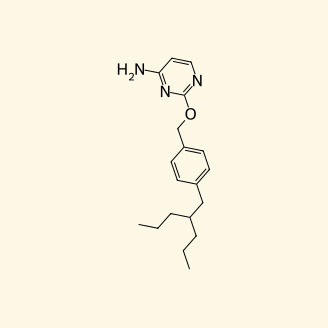 CCCC(CCC)Cc1ccc(COc2nccc(N)n2)cc1